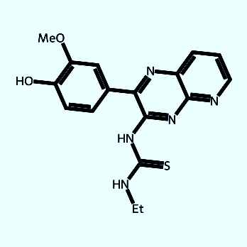 CCNC(=S)Nc1nc2ncccc2nc1-c1ccc(O)c(OC)c1